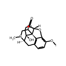 C[C@@H]1CN(C)[C@@H]2Cc3ccc(OI)c4c3[C@]13[C@@H](O4)C(=O)CC[C@@]23O